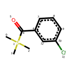 CS(C)(C)C(=O)c1cccc(Cl)c1